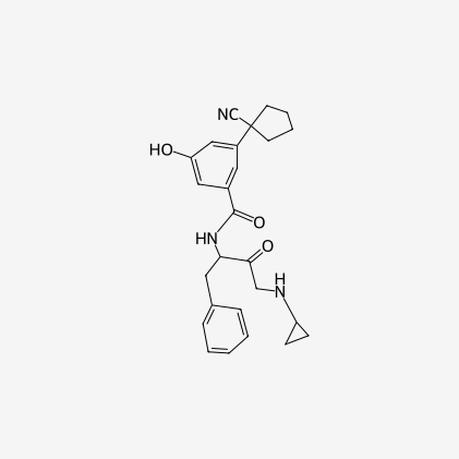 N#CC1(c2cc(O)cc(C(=O)NC(Cc3ccccc3)C(=O)CNC3CC3)c2)CCCC1